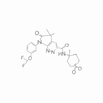 CC1(NC(=O)c2cc3c(nn2)N(c2cccc(OC(F)F)c2)C(=O)C3(C)C)CCS(=O)(=O)CC1